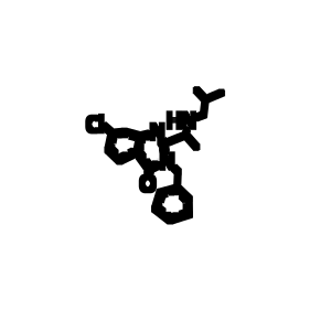 CC(C)CNC(C)c1nc2cc(Cl)ccc2c(=O)n1Cc1ccccc1